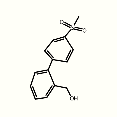 CS(=O)(=O)c1ccc(-c2ccccc2CO)cc1